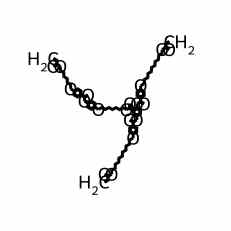 C=CC(=O)OCCCCCCCCCCCOc1ccc(C(=O)Oc2ccc(OC(=O)c3ccc(OCCCCCCCCCCCOC(=O)C=C)cc3)c(C(=O)OCCCCCCCOc3ccc(OC(=O)c4ccc(OCCCCCCOC(=O)C=C)cc4)cc3)c2)cc1